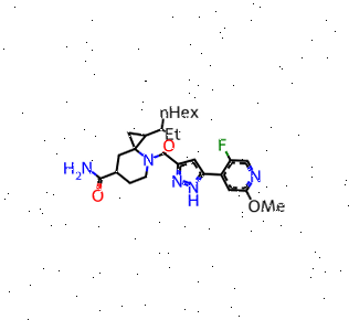 CCCCCCC(CC)C1CC12CC(C(N)=O)CCN2C(=O)c1cc(-c2cc(OC)ncc2F)[nH]n1